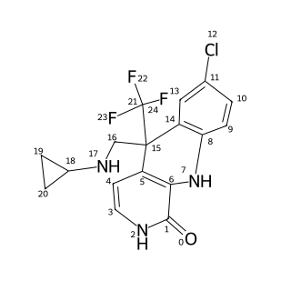 O=c1[nH]ccc2c1Nc1ccc(Cl)cc1C2(CNC1CC1)C(F)(F)F